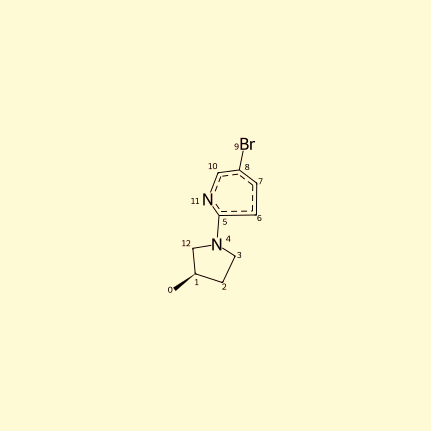 C[C@@H]1CCN(c2ccc(Br)cn2)C1